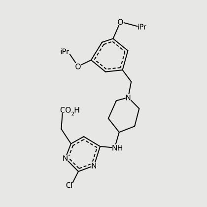 CC(C)Oc1cc(CN2CCC(Nc3cc(CC(=O)O)nc(Cl)n3)CC2)cc(OC(C)C)c1